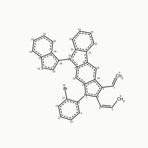 C=Cc1c(/C=C\C)n(-c2ccccc2Br)c2cc3c(cc12)c1ccccc1n3-c1csc2ccccc12